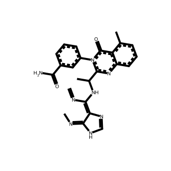 C=N/C(NC(C)c1nc2cccc(C)c2c(=O)n1-c1cccc(C(N)=O)c1)=C1/N=CN/C1=N/C